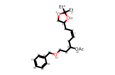 CCC1(CC)OCC(C/C=C\CC(CCOCc2ccccc2)OC(C)=O)O1